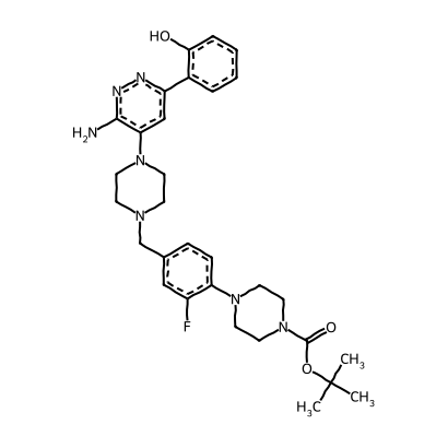 CC(C)(C)OC(=O)N1CCN(c2ccc(CN3CCN(c4cc(-c5ccccc5O)nnc4N)CC3)cc2F)CC1